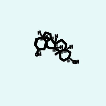 C[C@]12CC[C@@H](O)C[C@@H]1CC[C@H]1[C@@H]3CC[C@@H]4C=C[C@H](O)CC43CC[C@@H]12